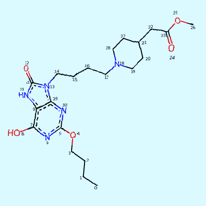 CCCCOc1nc(O)c2[nH]c(=O)n(CCCCN3CCC(CC(=O)OC)CC3)c2n1